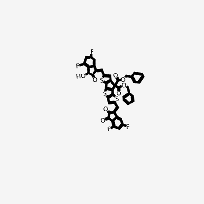 O=C1C(=O)c2c(F)cc(F)cc2/C1=C/c1cc2sc3c(c2s1)C(C(=O)OCc1ccccc1)(C(=O)OCc1ccccc1)c1cc(/C=C2\C(=O)C(O)c4c(F)cc(F)cc42)sc1-3